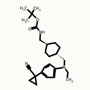 CCN(C[C@H]1CC[C@H](CNC(=O)OC(C)(C)C)CC1)c1ccc(C2(C#N)CC2)cc1